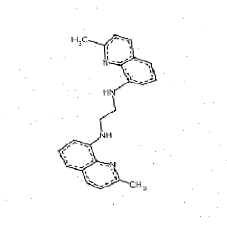 Cc1ccc2cccc(NCCNc3cccc4ccc(C)nc34)c2n1